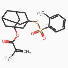 C=C(C)C(=O)OC12CC3CC(C1)CC(SS(=O)(=O)c1ccccc1C)(C3)C2